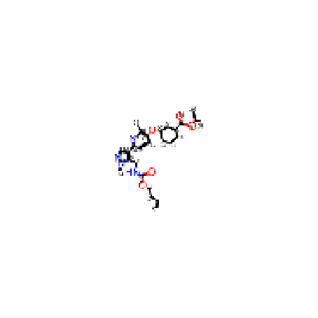 CCCCOC(=O)NCc1c(-c2ccc(O[C@H]3CCC[C@H](C(=O)OC(C)C)C3)c(C)n2)cnn1C